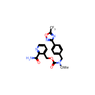 CON(Cc1ccc(-c2noc(C(F)(F)F)n2)cc1)C(=O)OCc1cccnc1C(N)=O